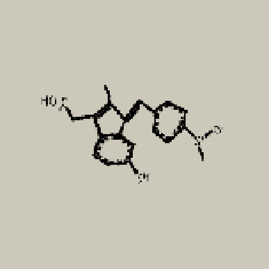 CC1=C(CC(=O)O)c2ccc(S)cc2C1=Cc1ccc([S+](C)[O-])cc1